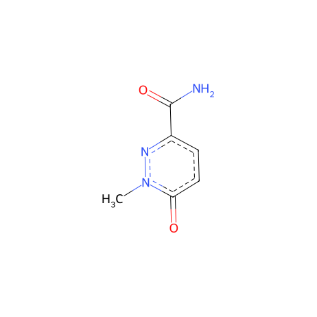 Cn1nc(C(N)=O)ccc1=O